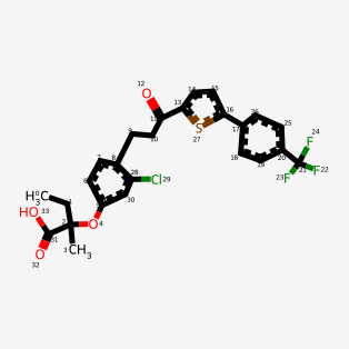 CCC(C)(Oc1ccc(CCC(=O)c2ccc(-c3ccc(C(F)(F)F)cc3)s2)c(Cl)c1)C(=O)O